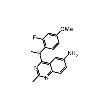 COc1ccc(N(C)c2nc(C)nc3ccc(N)cc23)c(F)c1